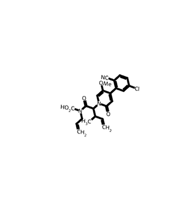 C=CCN(C(=O)O)C(=O)C(C(C)C=C)n1cc(OC)c(-c2cc(Cl)ccc2C#N)cc1=O